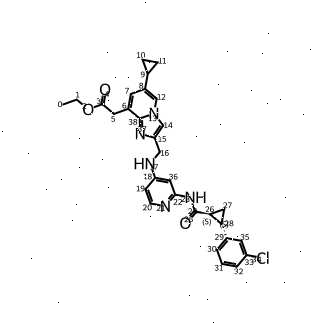 CCOC(=O)Cc1cc(C2CC2)cn2cc(CNc3ccnc(NC(=O)[C@H]4C[C@@H]4c4cccc(Cl)c4)c3)nc12